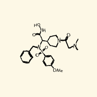 COc1ccc(S(=O)(=O)N(Cc2ccccc2)C(C(=O)NO)C2CCN(C(=O)CN(C)C)CC2)cc1